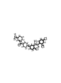 CC(Nc1cc(N2CCC(C(=O)N3CCCC(N(C)C)C3)CC2)ccc1Cl)c1ccc(Cl)cc1Cl